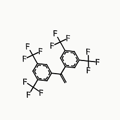 C=C(c1cc(C(F)(F)F)cc(C(F)(F)F)c1)c1cc(C(F)(F)F)cc(C(F)(F)F)c1